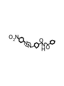 O=C(CNC(=O)c1ccc(CN2CCN(c3ccc([N+](=O)[O-])cc3)CC2)cc1)c1ccccc1